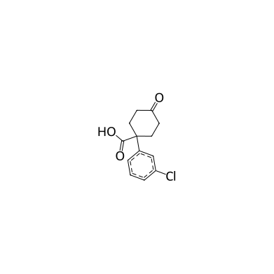 O=C1CCC(C(=O)O)(c2cccc(Cl)c2)CC1